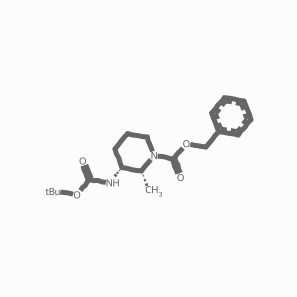 C[C@@H]1[C@H](NC(=O)OC(C)(C)C)CCCN1C(=O)OCc1ccccc1